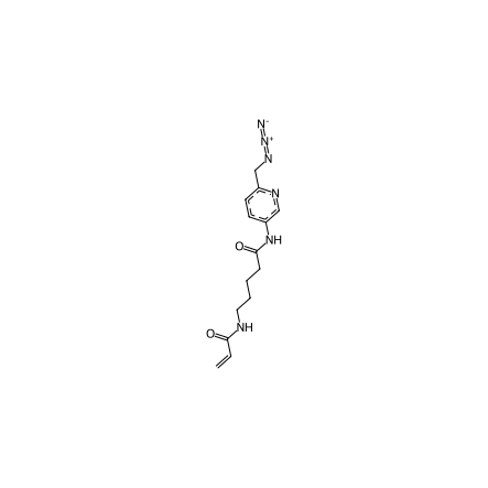 C=CC(=O)NCCCCC(=O)Nc1ccc(CN=[N+]=[N-])nc1